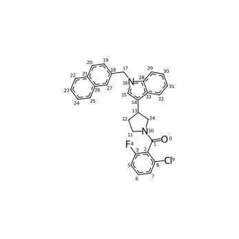 O=C(c1c(F)cccc1Cl)N1CCC(c2cn(Cc3ccc4ccccc4c3)c3ccccc23)C1